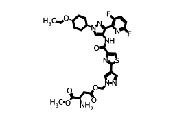 CCO[C@H]1CC[C@H](n2cc(NC(=O)c3csc(-c4cnn(COC(=O)C[C@@H](N)C(=O)OC)c4)n3)c(-c3nc(F)ccc3F)n2)CC1